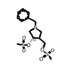 CS(=O)(=O)OCC1CN(Cc2ccccc2)C[C@H]1OS(C)(=O)=O